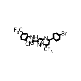 O=C(Nc1cc(C(F)(F)F)ccc1Cl)c1cc2nc(-c3ccc(Br)cc3)cc(C(F)(F)F)n2n1